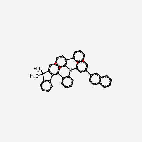 CC1(C)c2ccccc2-c2c(-c3ccccc3N(c3cccc(-c4ccc5ccccc5c4)c3)c3ccccc3-c3ccccc3)cccc21